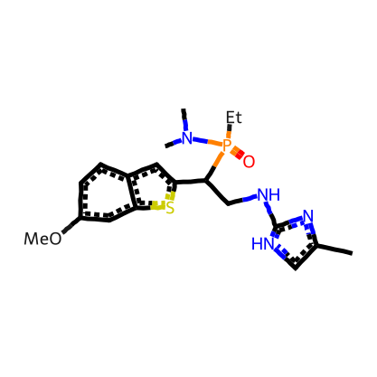 CCP(=O)(C(CNc1nc(C)c[nH]1)c1cc2ccc(OC)cc2s1)N(C)C